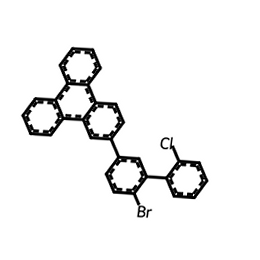 Clc1ccccc1-c1cc(-c2ccc3c4ccccc4c4ccccc4c3c2)ccc1Br